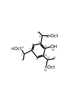 CCCCCCCCC(C)c1cc(C(C)CCCCCCCC)c(O)c(C(C)CCCCCCCC)c1